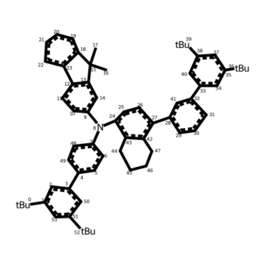 CC(C)(C)c1cc(-c2ccc(N(c3ccc4c(c3)C(C)(C)c3ccccc3-4)c3ccc(-c4cccc(-c5cc(C(C)(C)C)cc(C(C)(C)C)c5)c4)c4c3CCCC4)cc2)cc(C(C)(C)C)c1